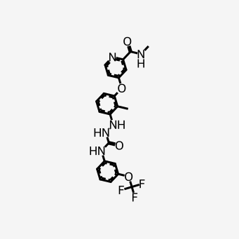 CNC(=O)c1cc(Oc2cccc(NNC(=O)Nc3cccc(OC(F)(F)F)c3)c2C)ccn1